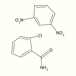 NC(=O)c1ccccc1Cl.O=[N+]([O-])c1cccc([N+](=O)[O-])c1